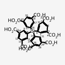 O=C(O)c1cc(C(=O)O)cc([Si](c2cc(C(=O)O)cc(C(=O)O)c2)(c2cc(C(=O)O)cc(C(=O)O)c2)c2cc(C(=O)O)cc(C(=O)O)c2)c1